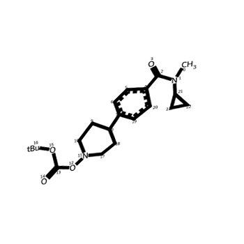 CN(C(=O)c1ccc(C2CCN(OC(=O)OC(C)(C)C)CC2)cc1)C1CC1